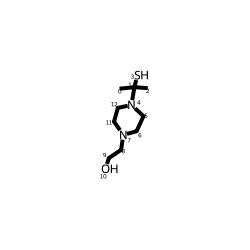 CC(C)(S)N1CCN(CCO)CC1